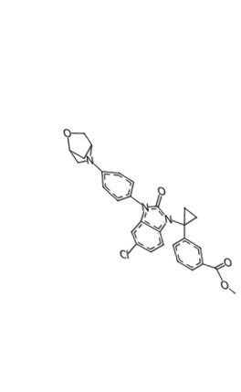 COC(=O)c1cccc(C2(n3c(=O)n(-c4ccc(N5CC6CC5CO6)cc4)c4cc(Cl)ccc43)CC2)c1